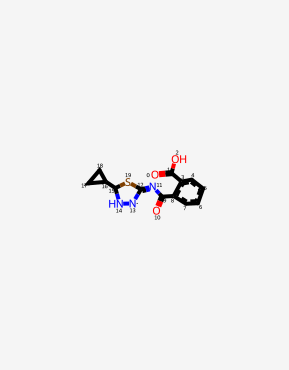 O=C(O)c1ccccc1C(=O)N=C1[N]NC(C2CC2)S1